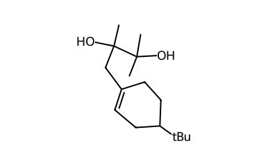 CC(C)(C)C1CC=C(CC(C)(O)C(C)(C)O)CC1